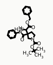 CC(C)(C)OC(=O)N1CCC(C(=O)Nc2ccccc2)(C(N)C(=O)OCc2ccccc2)C1